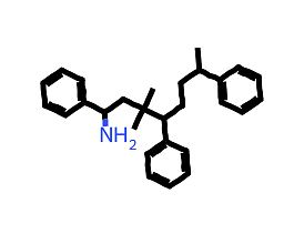 CC(CCC(c1ccccc1)C(C)(C)CC(N)c1ccccc1)c1ccccc1